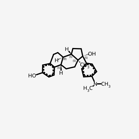 CN(C)c1ccc([C@]2(O)CC[C@H]3[C@@H]4CCc5cc(O)ccc5[C@H]4CC[C@@]32C)cc1